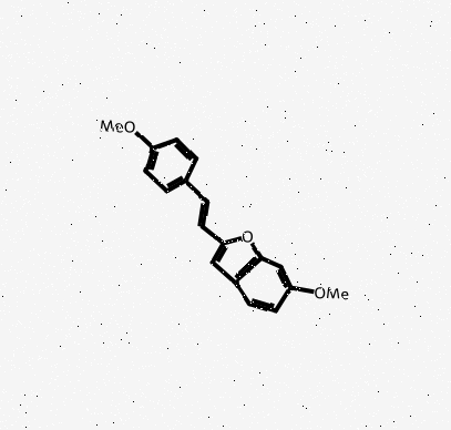 COc1ccc(C=Cc2cc3ccc(OC)cc3o2)cc1